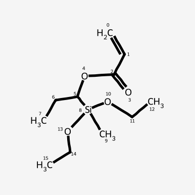 C=CC(=O)OC(CC)[Si](C)(OCC)OCC